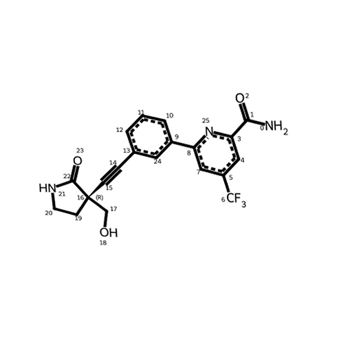 NC(=O)c1cc(C(F)(F)F)cc(-c2cccc(C#C[C@@]3(CO)CCNC3=O)c2)n1